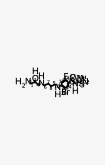 NC[C@@H](O)CNCCCCNc1cc(F)c([S+]([O-])Nc2ncns2)cc1Br